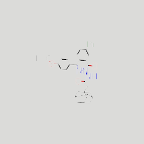 COc1ccc(-c2nn(NC(=O)CC34CC5CC(CC(C5)C3)C4)c(=O)c3cc(Br)ccc23)cc1